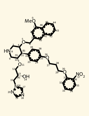 COc1cc(COC2CNC[C@@H](OC[C@H](O)Cn3cncn3)[C@@H]2c2ccc(OCCCOc3ccccc3[N+](=O)[O-])cc2)cc2ccccc12